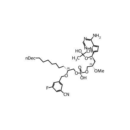 CCCCCCCCCCCCCCCCC[C@H](COP(=O)(O)OC[C@H](C[C@@H](OC(C)(C)O)c1ccc2c(N)ncnn12)OC)OCc1cc(F)cc(C#N)c1